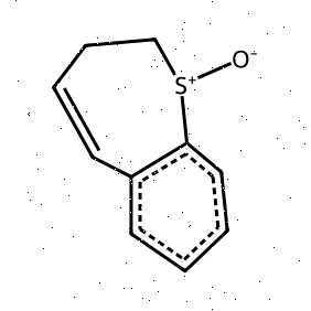 [O-][S+]1CCC=Cc2ccccc21